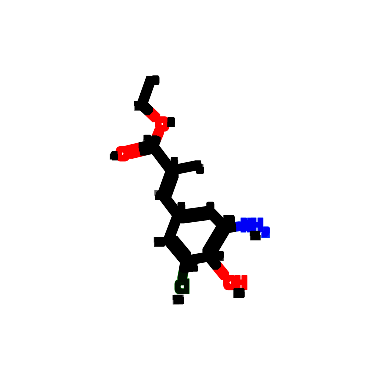 CCOC(=O)/C(C)=C/c1cc(N)c(O)c(Cl)c1